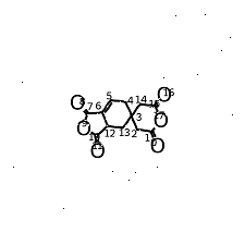 O=C1CC2(CC=C3C(=O)OC(=O)C3C2)CC(=O)O1